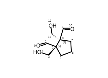 O=C[C@@]1(CO)CCC[C@@]1(C=O)CO